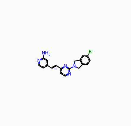 Nc1cc(/C=C/c2ccnc(N3Cc4ccc(Br)cc4C3)n2)ccn1